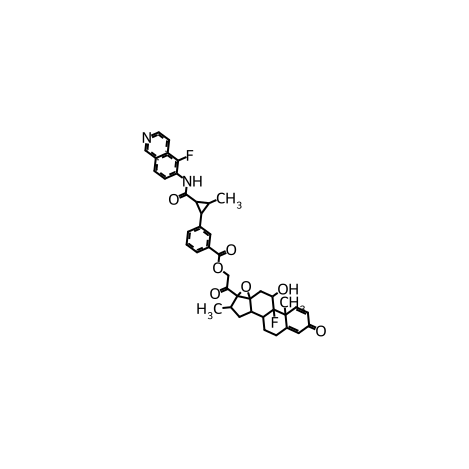 CC1C(C(=O)Nc2ccc3cnccc3c2F)C1c1cccc(C(=O)OCC(=O)C23OC24CC(O)C2(F)C(CCC5=CC(=O)C=CC52C)C4CC3C)c1